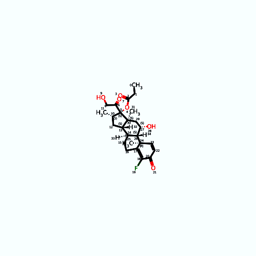 CCC(=O)O[C@@]1(C(=O)CO)[C@@H](C)C[C@H]2[C@@H]3CCC4=C(F)C(=O)C=C[C@]4(C)[C@H]3[C@@H](O)C[C@@]21C